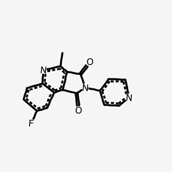 Cc1nc2ccc(F)cc2c2c1C(=O)N(c1ccncc1)C2=O